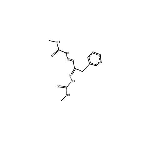 CNC(=S)N/N=C/C(Cc1cccnc1)=N/NC(=S)NC